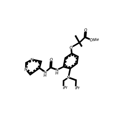 COC(=O)C(C)(C)Oc1ccc(N(CC(C)C)CC(C)C)c(NC(=O)Nc2cncnc2)c1